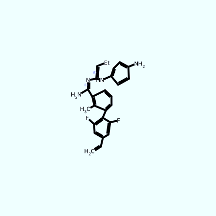 C=Cc1cc(F)c(-c2cccc(/C(N)=N\C(=C\CC)Nc3ccc(N)cc3)c2C)c(F)c1